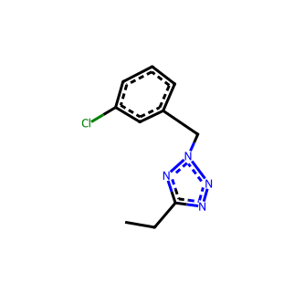 CCc1nnn(Cc2cccc(Cl)c2)n1